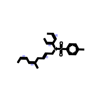 C/C=C\C=C(\C)C/C=C/CN(C(/C=C\C)=C/C)S(=O)(=O)c1ccc(C)cc1